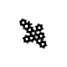 CC1(C)c2ccccc2Sc2cc3c(cc21)N(c1ccccc1)B1c2cccc4c2C(Cc2ccccc2-4)c2cc4ccccc4c-3c21